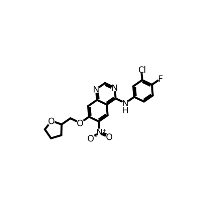 O=[N+]([O-])c1cc2c(Nc3ccc(F)c(Cl)c3)ncnc2cc1OCC1CCCO1